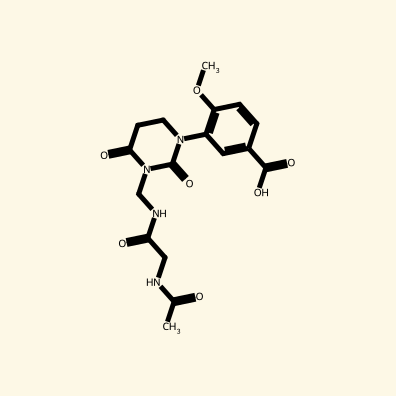 COc1ccc(C(=O)O)cc1N1CCC(=O)N(CNC(=O)CNC(C)=O)C1=O